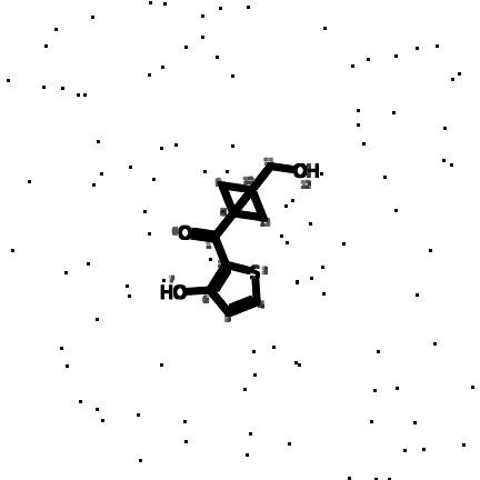 O=C(c1sccc1O)C12CC1(CO)C2